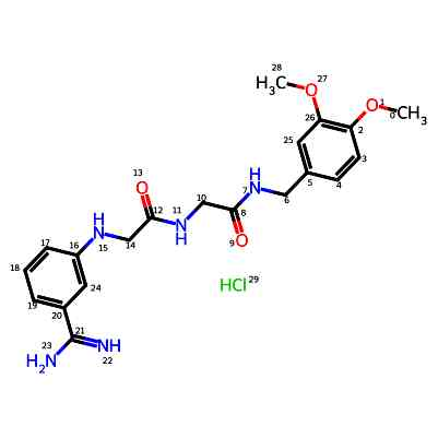 COc1ccc(CNC(=O)CNC(=O)CNc2cccc(C(=N)N)c2)cc1OC.Cl